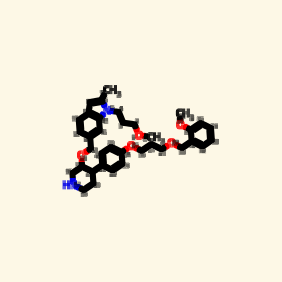 COCCCn1c(C)cc2ccc(COC3CNCCC3c3ccc(OCCCOCc4ccccc4OC)cc3)cc21